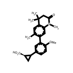 COc1ccc(C2C[C@H]2C(=O)O)cc1-c1cc2c(cc1C)C(C)(C)CC(=O)N2C